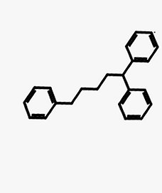 [c]1ccc(C(CCCCc2ccccc2)c2ccccc2)cc1